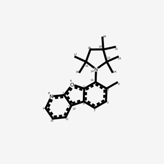 Cc1ccc2c(oc3ncccc32)c1N1C(C)(C)CC(C)(C)C1(C)C